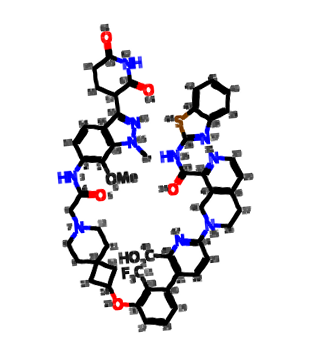 COc1c(NC(=O)CN2CCC3(CC2)CC(Oc2cccc(-c4ccc(N5CCc6ccnc(C(=O)Nc7nc8ccccc8s7)c6C5)nc4C(=O)O)c2C(F)(F)F)C3)ccc2c(C3CCC(=O)NC3=O)nn(C)c12